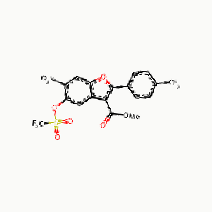 COC(=O)c1c(-c2ccc(C(F)(F)F)cc2)oc2cc([N+](=O)[O-])c(OS(=O)(=O)C(F)(F)F)cc12